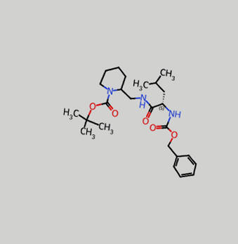 CC(C)C[C@H](NC(=O)OCc1ccccc1)C(=O)NCC1CCCCN1C(=O)OC(C)(C)C